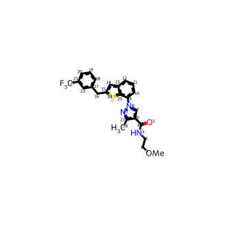 COCCNC(=O)c1cn(-c2cccc3cc(Cc4cccc(C(F)(F)F)c4)sc23)nc1C